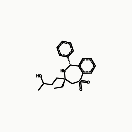 CC[C@]1(CCC(C)O)CS(=O)(=O)c2ccccc2[C@@H](c2ccccc2)N1